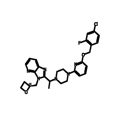 CC(c1nc2cccnc2n1C[C@@H]1CCO1)N1CCN(c2cccc(OCc3ccc(Cl)cc3F)n2)CC1